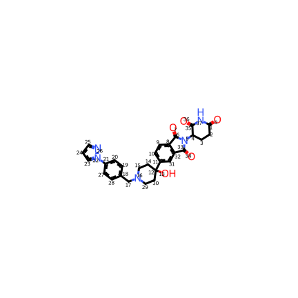 O=C1CCC(N2C(=O)c3ccc(C4(O)CCN(Cc5ccc(-n6cccn6)cc5)CC4)cc3C2=O)C(=O)N1